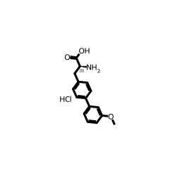 COc1cccc(-c2ccc(C[C@H](N)C(=O)O)cc2)c1.Cl